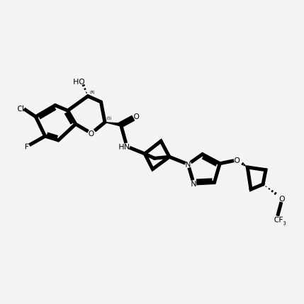 O=C(NC12CC(n3cc(O[C@H]4C[C@@H](OC(F)(F)F)C4)cn3)(C1)C2)[C@@H]1C[C@@H](O)c2cc(Cl)c(F)cc2O1